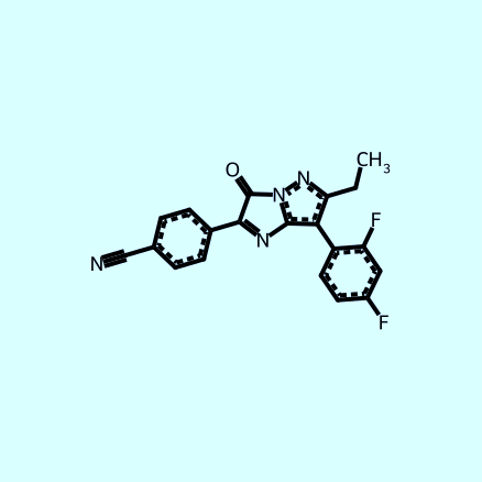 CCc1nn2c(c1-c1ccc(F)cc1F)N=C(c1ccc(C#N)cc1)C2=O